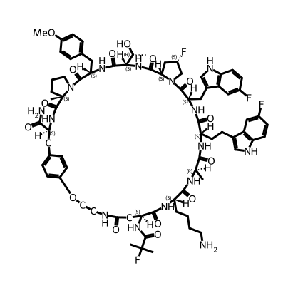 COc1ccc(C[C@@H]2NC(=O)[C@H]([C@@H](C)O)NC(=O)[C@@H]3C[C@H](F)CN3C(=O)[C@H](Cc3c[nH]c4ccc(F)cc34)NC(=O)[C@H](CCc3c[nH]c4ccc(F)cc34)NC(=O)[C@@H](C)NC(=O)[C@H](CCCCN)NC(=O)[C@@H](NC(=O)C(C)(C)F)CC(=O)NCCOc3ccc(cc3)C[C@@H](C(N)=O)NC(=O)[C@]3(C)CCCN3C2=O)cc1